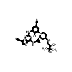 CC(C)(O)[C@H](O)CNC1CCN(c2cc(C#N)cc(Nc3nc(NC4CC4)c4ncc(C#N)n4n3)c2Cl)CC1